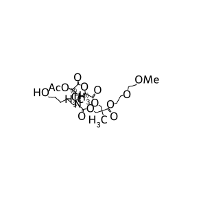 COCCOCCOC(=O)C(C)(COC(=O)NCCCCCO)COC(=O)[C@H](C)OC(=O)[C@@H](C)OC(C)=O